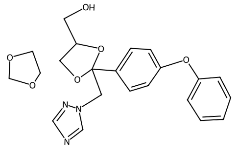 C1COCO1.OCC1COC(Cn2cncn2)(c2ccc(Oc3ccccc3)cc2)O1